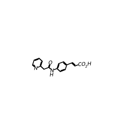 O=C(O)C=Cc1ccc(NC(=O)Cc2ccccn2)cc1